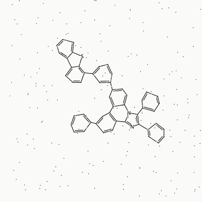 c1ccc(-c2ccc3c(c2)c2cc(-c4cccc(-c5cccc6c5sc5ccccc56)c4)ccc2n2c(-c4ccccc4)c(-c4ccccc4)nc32)cc1